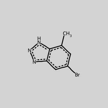 Cc1cc(Br)cc2nn[nH]c12